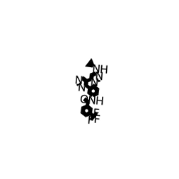 Cc1ccc(NC(=O)c2cccc(C(F)(F)F)c2)cc1-c1ncncc1-c1cc(NC2CC2)ncn1